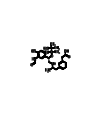 C[C@H](Cc1cccc(CC(=O)O)c1)NC[C@@H](O[Si](C)(C)C(C)(C)C)c1ccc(O)c(NC=O)c1